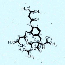 CC(C)CC(=O)Oc1ccc(C[C@](NC(C)C)(OC(=O)OC(C)C)C(=O)O)cc1OC(=O)CC(C)C